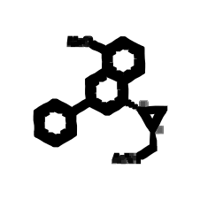 COc1cccc2c([C@@H]3C[C@H]3CNC(C)=O)cc(-c3ccccc3)cc12